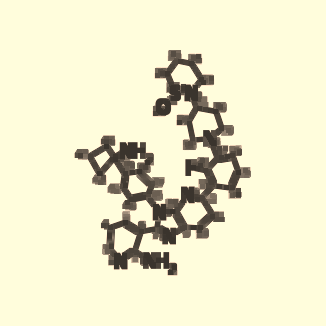 Nc1ncccc1-c1nc2ccc(-c3cccc(N4CCC(N5CCCC[S+]5[O-])CC4)c3F)nc2n1-c1ccc(C2(N)CCC2)cc1